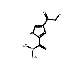 CN(C)C(=O)c1cc(C(=O)CCl)c[nH]1